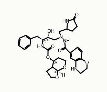 O=C1CCC(CN(C[C@@H](O)[C@H](Cc2ccccc2)NC(=O)O[C@H]2CCO[C@H]3OCCC32)NC(=O)c2ccc3c(c2)NCCO3)N1